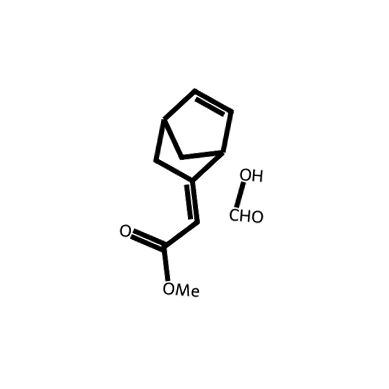 COC(=O)C=C1CC2C=CC1C2.O=CO